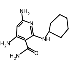 NC(=O)c1c(N)cc(N)nc1NC1CCCCC1